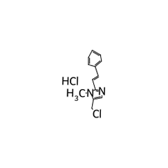 Cl.Cn1c(CCl)cnc1C=Cc1ccccc1